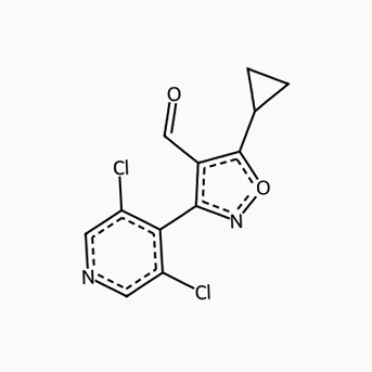 O=Cc1c(-c2c(Cl)cncc2Cl)noc1C1CC1